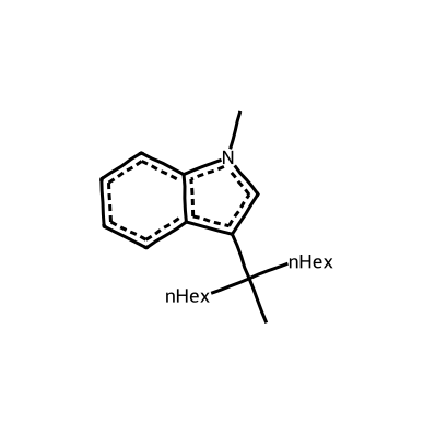 CCCCCCC(C)(CCCCCC)c1cn(C)c2ccccc12